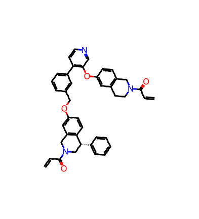 C=CC(=O)N1CCc2cc(Oc3cnccc3-c3cccc(COc4ccc5c(c4)CN(C(=O)C=C)C[C@H]5c4ccccc4)c3)ccc2C1